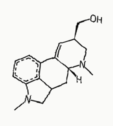 CN1CC2C[C@@H]3C(=C[C@@H](CO)CN3C)c3cccc1c32